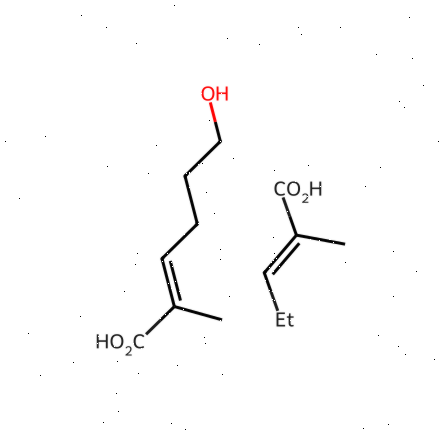 CC(=CCCCO)C(=O)O.CCC=C(C)C(=O)O